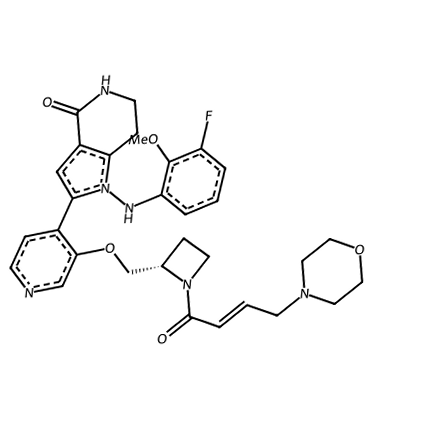 COc1c(F)cccc1Nn1c(-c2ccncc2OC[C@@H]2CCN2C(=O)/C=C/CN2CCOCC2)cc2c1CCNC2=O